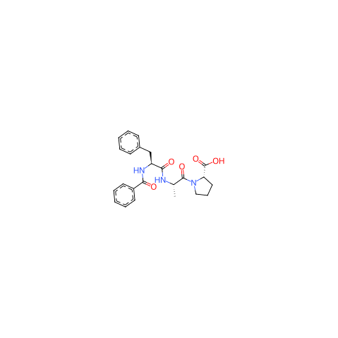 C[C@H](NC(=O)[C@H](Cc1ccccc1)NC(=O)c1ccccc1)C(=O)N1CCC[C@H]1C(=O)O